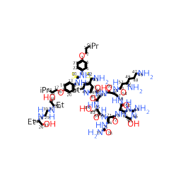 CC(C)CCOc1ccc(NC(=S)Nc2ccc(OCCC(C)C)cc2)cc1.CC[C@@H](CO)NCCN[C@@H](CC)CO.CCc1cc(C(N)=S)ccn1.NCCC[C@H](N)CC(=O)N[C@H]1CNC(=O)[C@H]([C@H]2C[C@H](O)N=C(N)N2)NC(=O)/C(=C/NC(N)=O)NC(=O)[C@H](CO)NC(=O)[C@H](CO)NC1=O